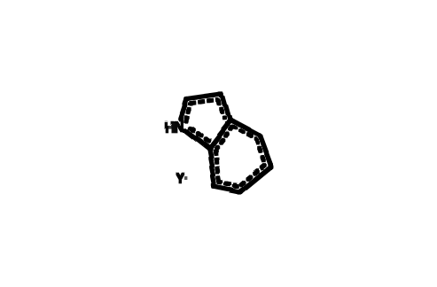 [Y].c1ccc2[nH]ccc2c1